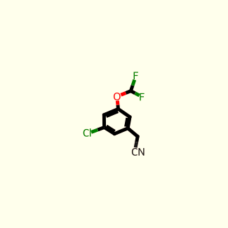 N#CCc1cc(Cl)cc(OC(F)F)c1